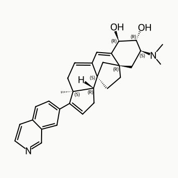 CN(C)[C@H]1C[C@@]23CC[C@@]4(C2)C(=CC[C@]2(C)C(c5ccc6ccncc6c5)=CC[C@@H]42)C=C3[C@@H](O)[C@@H]1O